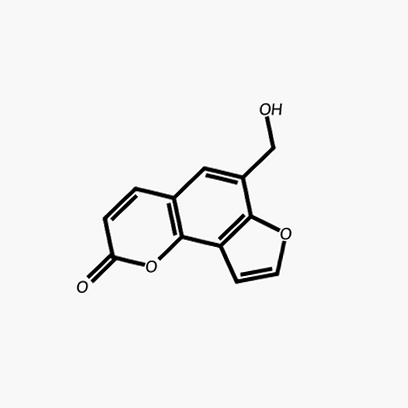 O=c1ccc2cc(CO)c3occc3c2o1